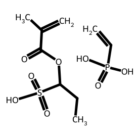 C=C(C)C(=O)OC(CC)S(=O)(=O)O.C=CP(=O)(O)O